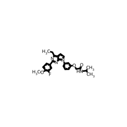 CCc1nc(-c2ccc(OC)c(F)c2)nc2c1ccn2-c1cccc(OCC(=O)NC(C)C)c1